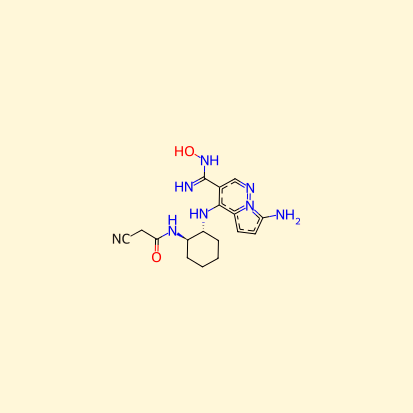 N#CCC(=O)N[C@@H]1CCCC[C@H]1Nc1c(C(=N)NO)cnn2c(N)ccc12